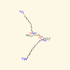 NCCCCCCCCCCCCCCCC(=O)NC(CCSSCCC(NC(=O)CCCCCCCCCCCCCCCN)C(=O)O)C(=O)O